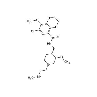 CNCCN1CC[C@@H](CNC(=O)c2cc(Cl)c(OC)c3c2OCCO3)C(OC)C1